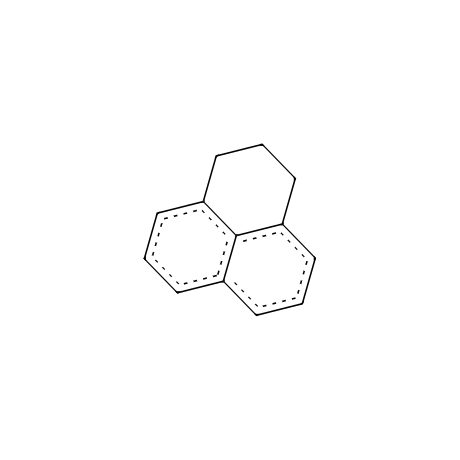 c1cc2c3c(cccc3c1)CCC2